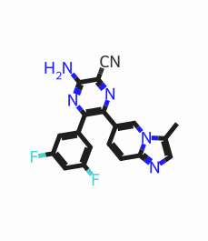 Cc1cnc2ccc(-c3nc(C#N)c(N)nc3-c3cc(F)cc(F)c3)cn12